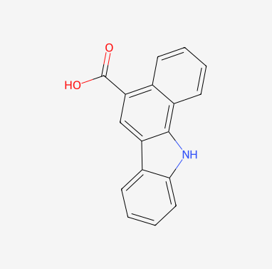 O=C(O)c1cc2c3ccccc3[nH]c2c2ccccc12